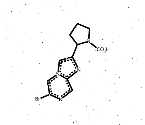 O=C(O)N1CCCC1c1cn2cc(Br)ncc2n1